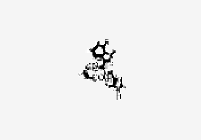 Cc1[nH]cnc1CN(C)C(=O)c1cn(C)c2c(F)cccc12.O=C(O)/C=C\C(=O)O